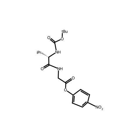 CC(C)[C@H](NC(=O)OC(C)(C)C)C(=O)NCC(=O)Oc1ccc([N+](=O)[O-])cc1